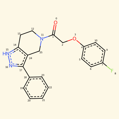 O=C(COc1ccc(F)cc1)N1CCc2[nH]nc(-c3ccccc3)c2C1